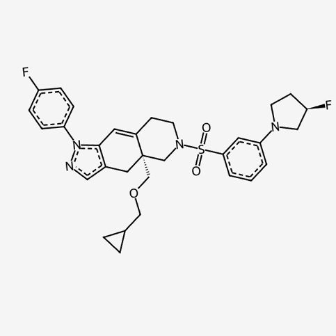 O=S(=O)(c1cccc(N2CC[C@@H](F)C2)c1)N1CCC2=Cc3c(cnn3-c3ccc(F)cc3)C[C@]2(COCC2CC2)C1